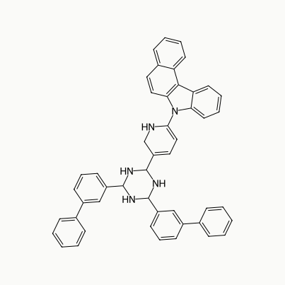 C1=C(C2NC(c3cccc(-c4ccccc4)c3)NC(c3cccc(-c4ccccc4)c3)N2)CNC(n2c3ccccc3c3c4ccccc4ccc32)=C1